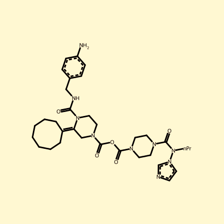 CCCN(C(=O)N1CCN(C(=O)OC(=O)N2CCN(C(=O)NCc3ccc(N)cc3)C(=C3CCCCCCC3)C2)CC1)n1ccnc1